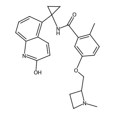 Cc1ccc(OCC2CCN2C)cc1C(=O)NC1(c2cccc3nc(O)ccc23)CC1